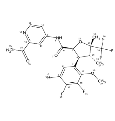 [2H]c1cc([C@H]2[C@@H](C(=O)Nc3ccnc(C(N)=O)c3)O[C@](C)(C(F)(F)F)[C@@H]2C)c(OC)c(F)c1F